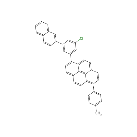 Cc1ccc(-c2ccc3ccc4c(-c5cc(Cl)cc(-c6ccc7ccccc7c6)c5)ccc5ccc2c3c54)cc1